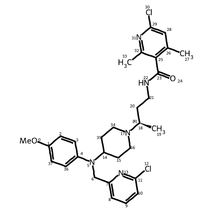 COc1ccc(N(Cc2cccc(Cl)n2)C2CCN([C@H](C)CCNC(=O)c3c(C)cc(Cl)nc3C)CC2)cc1